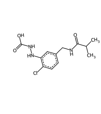 CC(C)C(=O)NCc1ccc(Cl)c(NNC(=O)O)c1